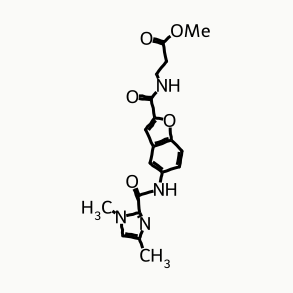 COC(=O)CCNC(=O)c1cc2cc(NC(=O)c3nc(C)cn3C)ccc2o1